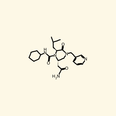 CC(C)C[C@H]1C(=O)N(Cc2cccnc2)C[C@H](CC(N)=O)N1C(=O)NC1CCCCC1